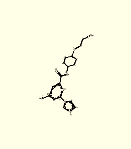 COCCOC1CCC(NC(=O)c2cc(N)cc(-n3ccnc3)n2)CC1